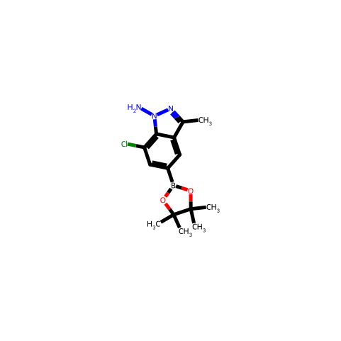 Cc1nn(N)c2c(Cl)cc(B3OC(C)(C)C(C)(C)O3)cc12